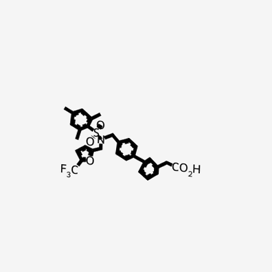 Cc1cc(C)c(S(=O)(=O)N(Cc2ccc(-c3cccc(CC(=O)O)c3)cc2)Cc2ccc(C(F)(F)F)o2)c(C)c1